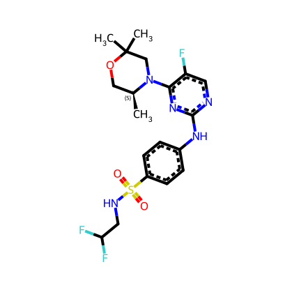 C[C@H]1COC(C)(C)CN1c1nc(Nc2ccc(S(=O)(=O)NCC(F)F)cc2)ncc1F